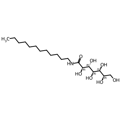 CCCCCCCCCCCCNC(=O)[C@H](O)[C@H](O)[C@H](O)[C@@H](O)[C@H](O)CO